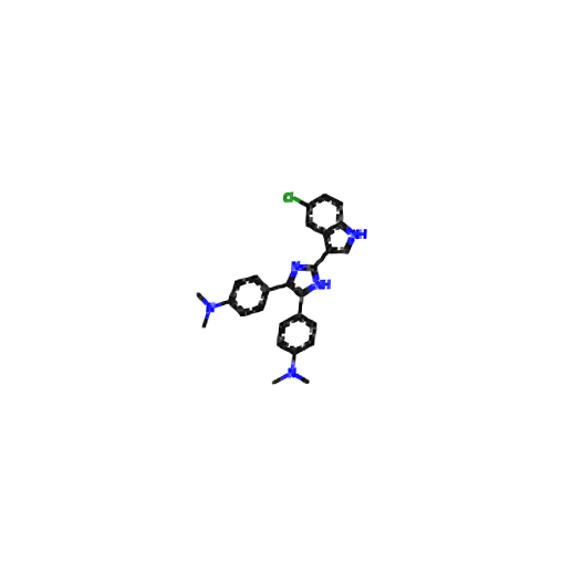 CN(C)c1ccc(-c2nc(-c3c[nH]c4ccc(Cl)cc34)[nH]c2-c2ccc(N(C)C)cc2)cc1